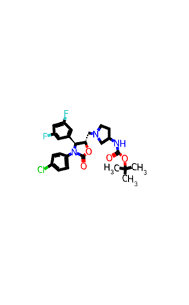 CC(C)(C)OC(=O)NC1CCN(C[C@@H]2OC(=O)N(c3ccc(Cl)cc3)[C@H]2c2cc(F)cc(F)c2)C1